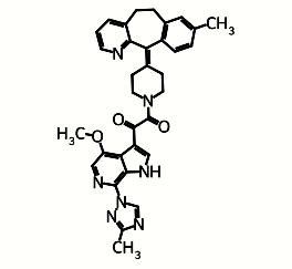 COc1cnc(-n2cnc(C)n2)c2[nH]cc(C(=O)C(=O)N3CCC(=C4c5ccc(C)cc5CCc5cccnc54)CC3)c12